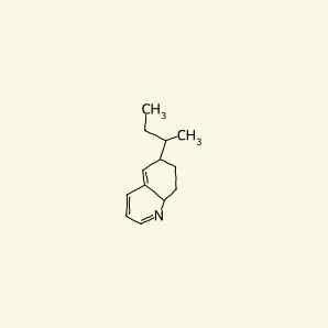 CCC(C)C1C=C2C=CC=NC2CC1